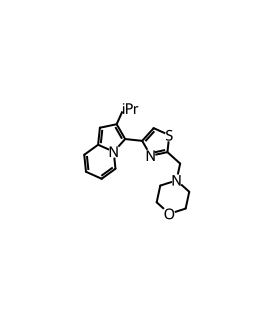 CC(C)c1cc2ccccn2c1-c1csc(CN2CCOCC2)n1